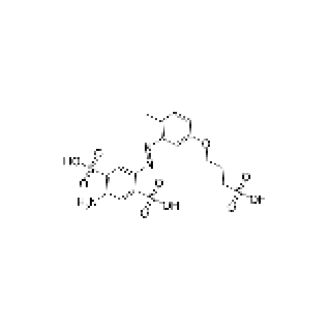 Cc1ccc(OCCCS(=O)(=O)O)cc1N=Nc1cc(S(=O)(=O)O)c(N)cc1S(=O)(=O)O